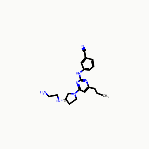 CCCc1cc(N2CC[C@H](NCCN)C2)nc(Nc2cccc(C#N)c2)n1